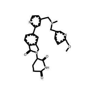 COc1ccc(CN(C)Cc2ccnc(-c3ccc4c(c3)CN(C3CCC(=O)NC3=O)C4=O)c2)cn1